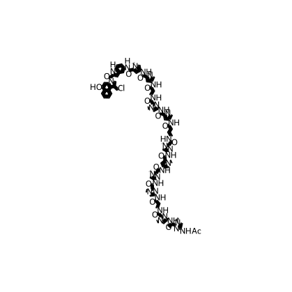 CC(=O)Nc1cn(C)c(C(=O)Nc2cn(C)c(C(=O)NCCC(=O)Nc3cn(C)c(C(=O)Nc4cn(C)c(C(=O)Nc5cc(C(=O)Nc6cn(C)c(C(=O)NCCCC(=O)Nc7cc(C(=O)Nc8cn(C)c(C(=O)NCCC(=O)Nc9cc(C(=O)Nc%10cc(C(=O)Nc%11ccc%12[nH]c(C(=O)N%13CC(CCl)c%14c%13cc(O)c%13ccccc%14%13)cc%12c%11)n(C)c%10)n(C)c9)n8)n(C)c7)n6)n(C)c5)n4)n3)n2)n1